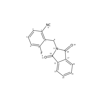 [C-]#[N+]c1cccc(F)c1CN1C(=O)c2ccccc2C1=O